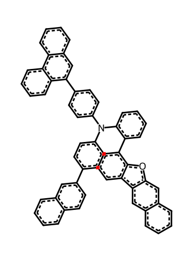 c1ccc(N(c2ccc(-c3ccc4ccccc4c3)cc2)c2ccc(-c3cc4ccccc4c4ccccc34)cc2)c(-c2cccc3c2oc2cc4ccccc4cc23)c1